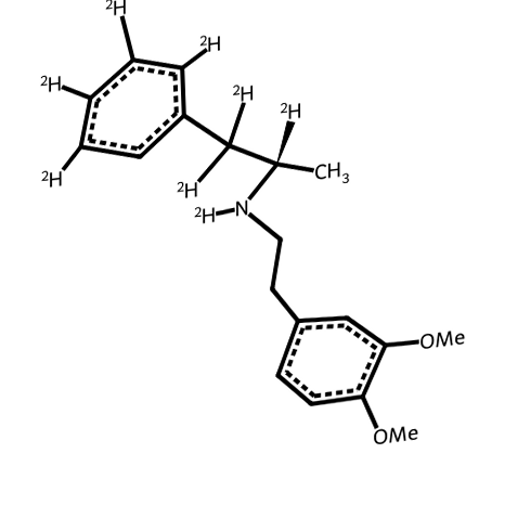 [2H]c1cc(C([2H])([2H])[C@]([2H])(C)N([2H])CCc2ccc(OC)c(OC)c2)c([2H])c([2H])c1[2H]